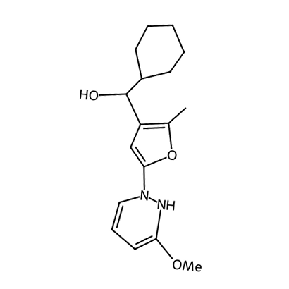 COC1=CC=CN(c2cc(C(O)C3CCCCC3)c(C)o2)N1